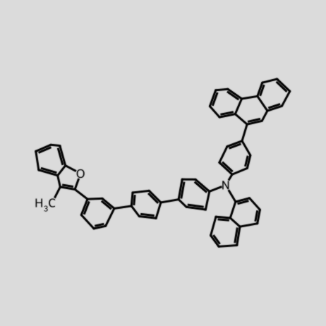 Cc1c(-c2cccc(-c3ccc(-c4ccc(N(c5ccc(-c6cc7ccccc7c7ccccc67)cc5)c5cccc6ccccc56)cc4)cc3)c2)oc2ccccc12